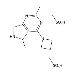 CS(=O)(=O)O.CS(=O)(=O)O.Cc1nc2c(c(N3CCC3)n1)C(C)NC2